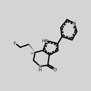 O=C1NC[C@H](CCF)c2[nH]c(-c3ccncc3)cc21